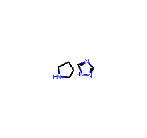 C1CCNC1.c1nc[nH]n1